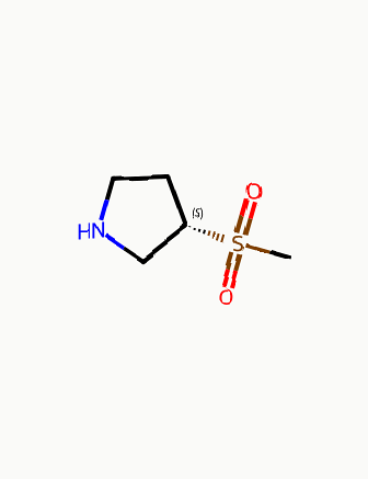 CS(=O)(=O)[C@H]1CCNC1